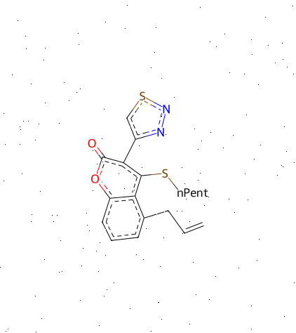 C=CCc1cccc2oc(=O)c(-c3csnn3)c(SCCCCC)c12